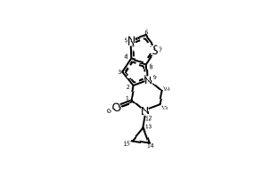 O=C1c2cc3ncsc3n2CCN1C1CC1